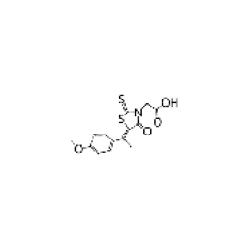 COc1ccc(C(C)=C2SC(=S)N(CC(=O)O)C2=O)cc1